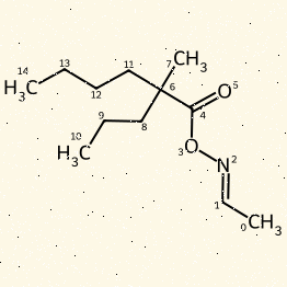 C/C=N/OC(=O)C(C)(CCC)CCCC